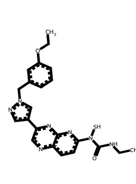 CCNC(=O)N(S)c1ccc2ncc(-c3cnn(Cc4cccc(OCC)c4)c3)nc2n1